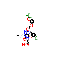 Cn1c(=O)n(CCCO)c(=O)c2c1nc(OCCOc1cccc(OC(F)(F)F)c1)n2Cc1ccc(Cl)cc1